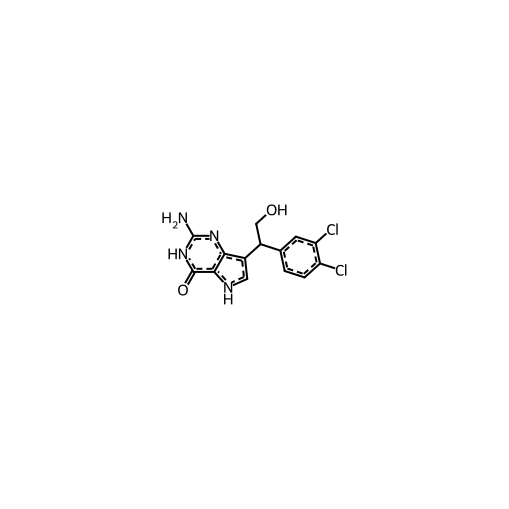 Nc1nc2c(C(CO)c3ccc(Cl)c(Cl)c3)c[nH]c2c(=O)[nH]1